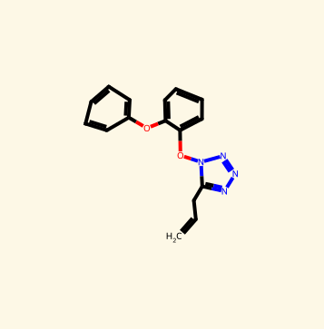 C=CCc1nnnn1Oc1ccccc1Oc1ccccc1